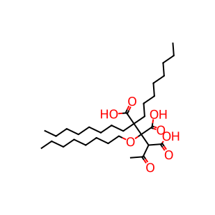 CCCCCCCCOC(C(=O)O)(C(C(C)=O)C(=O)O)C(CCCCCCCC)(CCCCCCCC)C(=O)O